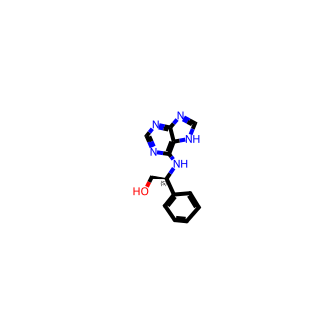 OC[C@@H](Nc1ncnc2nc[nH]c12)c1ccccc1